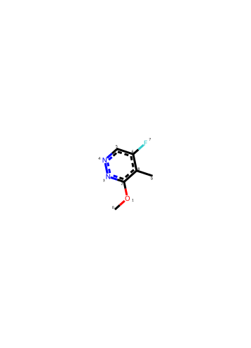 COc1nncc(F)c1C